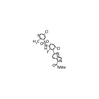 CNC(=O)c1ncn2nc(-c3c(Cl)ccc(NS(=O)(=O)c4cc(Cl)cnc4C)c3F)ccc12